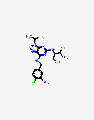 CC(C)C(CO)Nc1nc(NCc2ccc(Cl)c(N)c2)c2nnn(C(C)C)c2n1